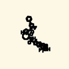 O=C(N[C@H]1CCCC[C@H]2CC[C@@H](C(=O)N3C[C@@H](c4ccccc4)CC34CC4)N2C1=O)c1cc2cc(C(F)(F)P(=O)(O)O)ccc2s1